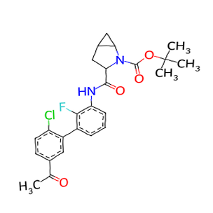 CC(=O)c1ccc(Cl)c(-c2cccc(NC(=O)C3CC4CC4N3C(=O)OC(C)(C)C)c2F)c1